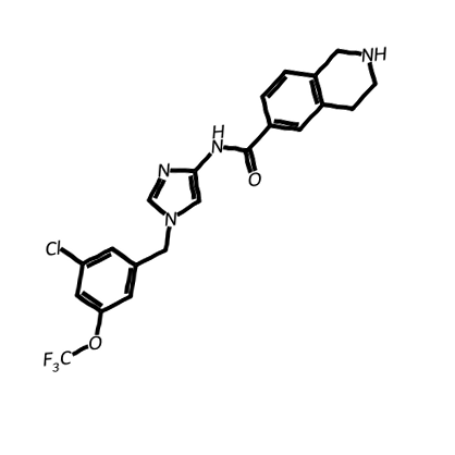 O=C(Nc1cn(Cc2cc(Cl)cc(OC(F)(F)F)c2)cn1)c1ccc2c(c1)CCNC2